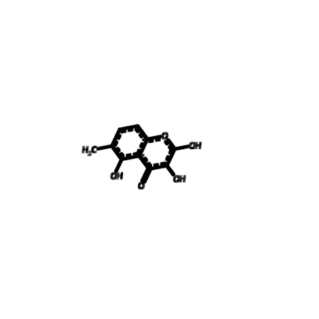 Cc1ccc2oc(O)c(O)c(=O)c2c1O